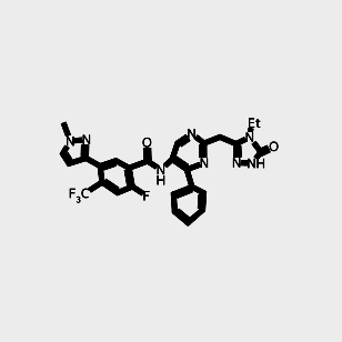 CCn1c(Cc2ncc(NC(=O)c3cc(-c4ccn(C)n4)c(C(F)(F)F)cc3F)c(-c3ccccc3)n2)n[nH]c1=O